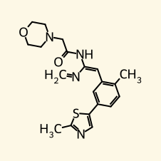 C=N/C(=C\c1cc(-c2cnc(C)s2)ccc1C)NC(=O)CN1CCOCC1